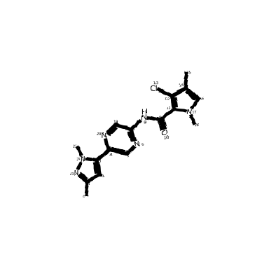 Cc1cc(-c2cnc(NC(=O)c3c(Cl)c(C)cn3C)cn2)n(C)n1